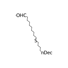 CCCCCCCCCCCCCCSCCCCCCCCC[C]=O